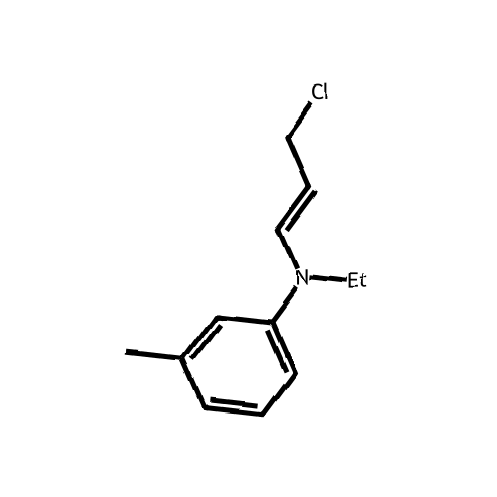 CCN(C=CCCl)c1cccc(C)c1